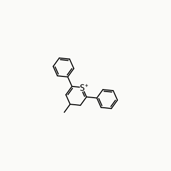 CC1C=C(c2ccccc2)[S+]=C(c2ccccc2)C1